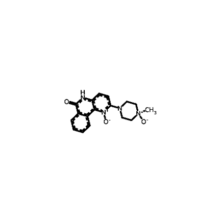 C[N+]1([O-])CCN(c2ccc3[nH]c(=O)c4ccccc4c3[n+]2[O-])CC1